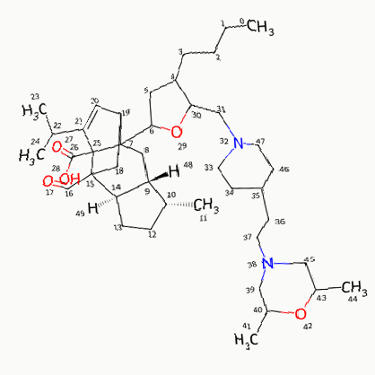 CCCCC1CC(C23C[C@@H]4[C@H](C)CC[C@H]4C4(C=O)CC2C=C(C(C)C)C34C(=O)O)OC1CN1CCC(CCN2CC(C)OC(C)C2)CC1